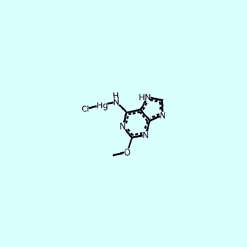 COc1nc([NH][Hg][Cl])c2[nH]cnc2n1